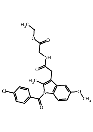 CCOC(=O)CNC(=O)Cc1c(C)n(C(=O)c2ccc(Cl)cc2)c2ccc(OC)cc12